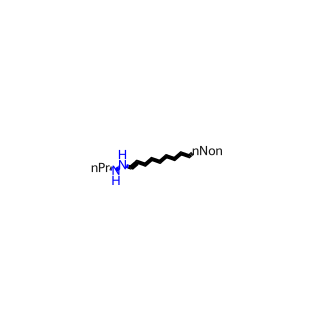 CCCCCCCCCCCCCCCCC=CNNCCC